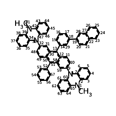 CN1c2ccccc2N(c2ccc3c(-c4cccc(-c5ccc6ccccc6c5)c4)c4cc(N5c6ccccc6N(C)c6ccccc65)ccc4c(-c4ccccc4)c3c2)c2ccccc21